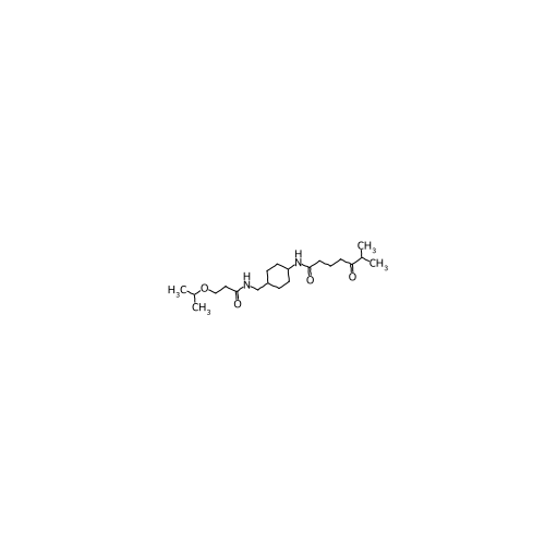 CC(C)OCCC(=O)NCC1CCC(NC(=O)CCCC(=O)C(C)C)CC1